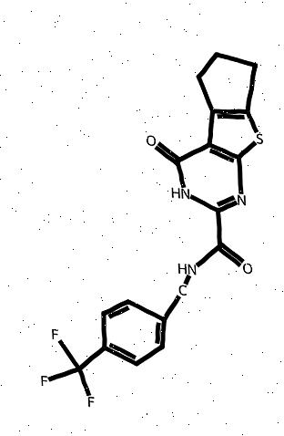 O=C(NCc1ccc(C(F)(F)F)cc1)c1nc2sc3c(c2c(=O)[nH]1)CCC3